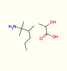 CC(O)C(=O)O.CCCC(C)C(C)(C)N